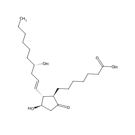 CCCCCC[C@H](O)CC=C[C@H]1[C@H](O)CC(=O)[C@@H]1CCCCCCC(=O)O